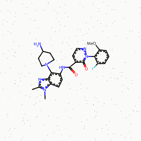 COc1cccc(F)c1-n1nccc(C(=O)Nc2ccc3c(nc(C)n3C)c2N2CCC(N)CC2)c1=O